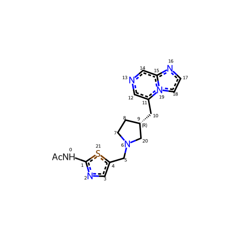 CC(=O)Nc1ncc(CN2CC[C@H](Cc3cncc4nccn34)C2)s1